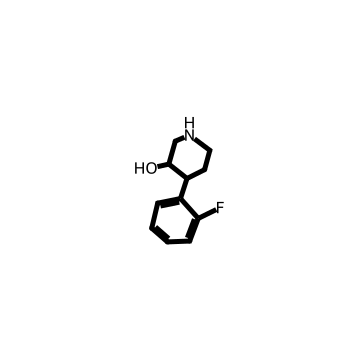 OC1CNCCC1c1ccccc1F